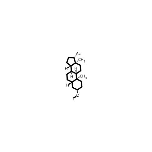 CC(=O)[C@H]1CC[C@H]2[C@@H]3CC[C@H]4C[C@@H](OI)CC[C@]4(C)[C@H]3CC[C@]12C